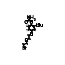 CC(C)(C)c1cc(OCCOCCBr)ccc1OC(N)=O